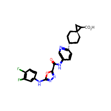 O=C(Nc1ccc([C@H]2CC[C@@]3(CC2)CC3C(=O)O)nc1)c1nnc(Nc2ccc(F)c(F)c2)o1